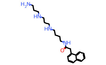 NCCCNCCCNCCCCNC(=O)Cc1cccc2ccccc12